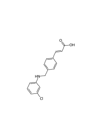 O=C(O)C=Cc1ccc(CNc2cccc(Cl)c2)cc1